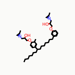 CCCCCCCC(CCCCCCCc1cccc(OCC(O)CN2CC2C)c1)C1=CC(C)C(OCC(O)CN2CC2C)C=C1